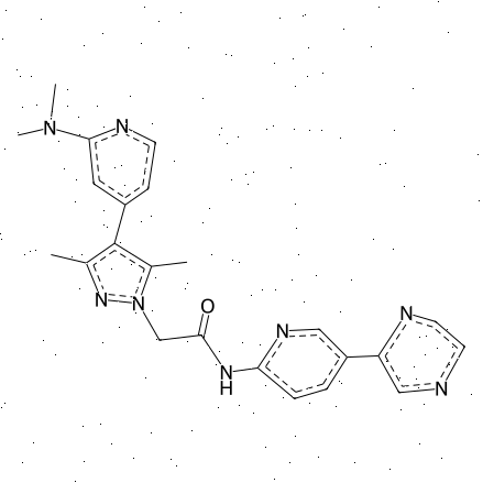 Cc1nn(CC(=O)Nc2ccc(-c3cnccn3)cn2)c(C)c1-c1ccnc(N(C)C)c1